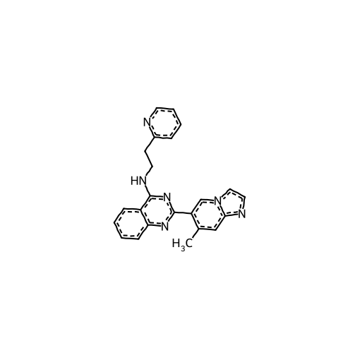 Cc1cc2nccn2cc1-c1nc(NCCc2ccccn2)c2ccccc2n1